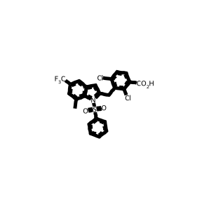 Cc1cc(C(F)(F)F)cc2cc(Cc3c(Cl)ccc(C(=O)O)c3Cl)n(S(=O)(=O)c3ccccc3)c12